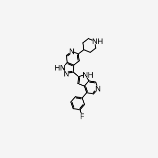 Fc1cccc(-c2cncc3[nH]c(-c4n[nH]c5cnc(C6CCNCC6)cc45)cc23)c1